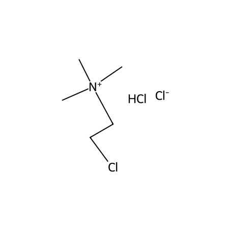 C[N+](C)(C)CCCl.Cl.[Cl-]